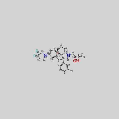 Cc1cccc(C2(Cc3cccc(N4CCC(F)(F)C4)c3)CN(C[C@@H](O)C(F)(F)F)c3ccccc32)c1